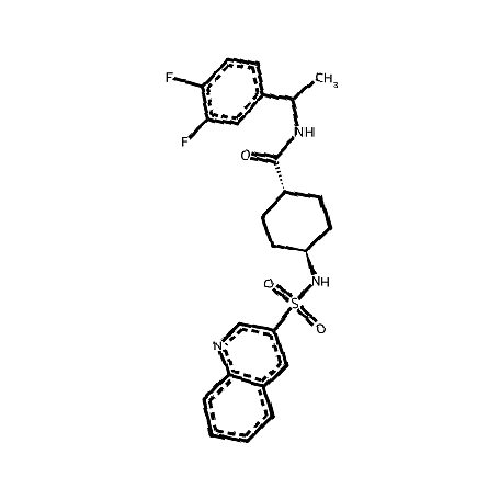 CC(NC(=O)[C@H]1CC[C@H](NS(=O)(=O)c2cnc3ccccc3c2)CC1)c1ccc(F)c(F)c1